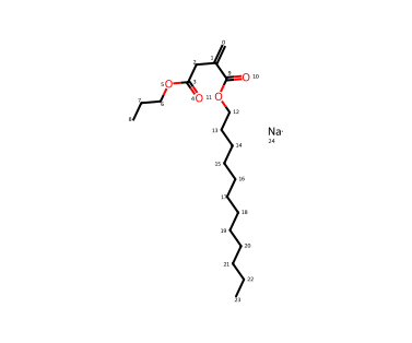 C=C(CC(=O)OCCC)C(=O)OCCCCCCCCCCCC.[Na]